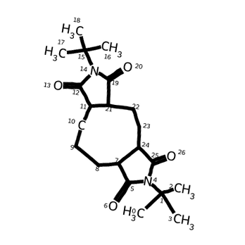 CC(C)(C)N1C(=O)C2CCCC3C(=O)N(C(C)(C)C)C(=O)C3CCC2C1=O